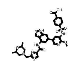 COc1ncc(-c2cc(NC(=O)c3csc(CN4CC(C)OC(C)C4)n3)c3cn[nH]c3c2)cc1NS(=O)(=O)c1ccc(C(=O)O)cc1